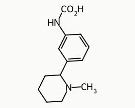 CN1CCCCC1c1cccc(NC(=O)O)c1